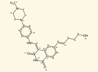 CN1CCN(c2ccc(NC=C3C(=O)NC(=O)c4ccc(C=CCCCO)cc43)cc2)CC1